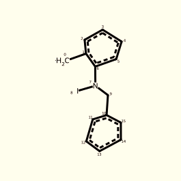 [CH2]c1ccccc1N(I)Cc1ccccc1